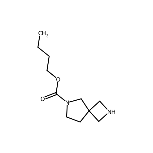 CCCCOC(=O)N1CCC2(CNC2)C1